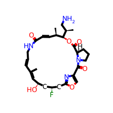 CC1=C\[C@@H](O)C[C@@H](F)Cc2nc(co2)C(=O)N2CCC[C@@H]2C(=O)O[C@H]([C@H](C)CN)[C@H](C)/C=C/C(=O)NC\C=C\1